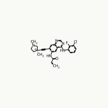 C=CC(=O)Nc1cc2c(Nc3cccc(Cl)c3F)ncnc2cc1C#C[C@@]1(C)CCN(C)C1